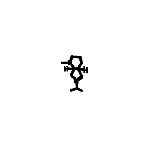 CC(C)N1C[C@H]2CCCN(C)[C@H]2C1